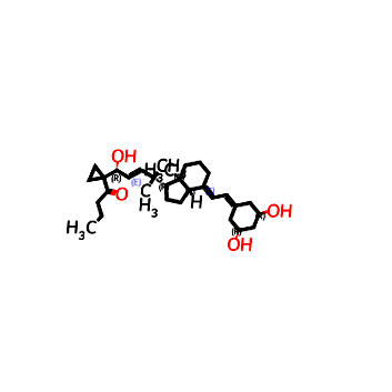 CCCC(=O)C1([C@H](O)/C=C/C(C)(C)[C@H]2CC[C@H]3/C(=C/C=C4C[C@@H](O)C[C@H](O)C4)CCC[C@]23C)CC1